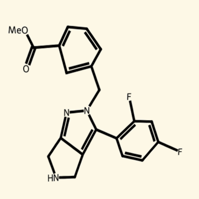 COC(=O)c1cccc(Cn2nc3c(c2-c2ccc(F)cc2F)CNC3)c1